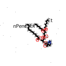 CC/C=C\CCCCOC(CCC(=O)OCC(COC(=O)CCCCCCC/C=C\C/C=C\CCCCC)COC(=O)C1(C)CCN(C)C1)OCCCC/C=C\CC